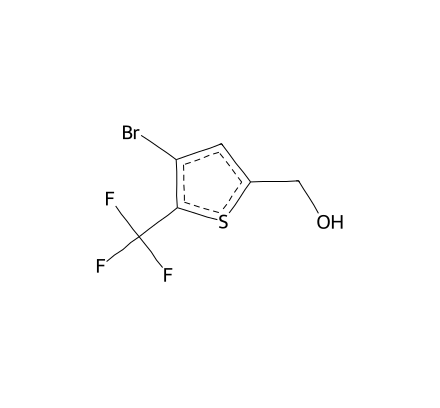 OCc1cc(Br)c(C(F)(F)F)s1